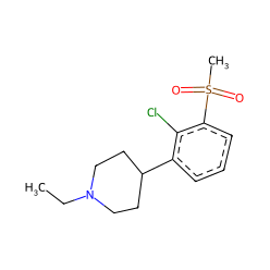 CCN1CCC(c2cccc(S(C)(=O)=O)c2Cl)CC1